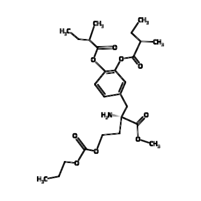 CCCOC(=O)OCC[C@@](N)(Cc1ccc(OC(=O)C(C)CC)c(OC(=O)C(C)CC)c1)C(=O)OC